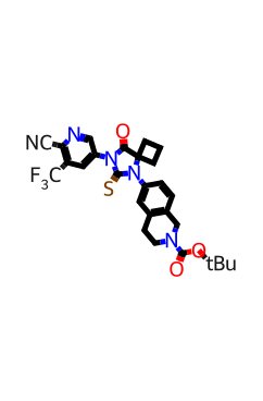 CC(C)(C)OC(=O)N1CCc2cc(N3C(=S)N(c4cnc(C#N)c(C(F)(F)F)c4)C(=O)C34CCC4)ccc2C1